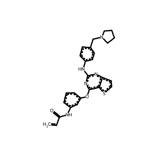 C=CC(=O)Nc1cccc(Oc2nc(Nc3ccc(CN4CCCC4)cc3)nc3ccsc23)c1